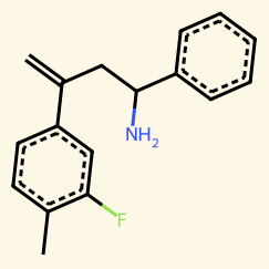 C=C(CC(N)c1ccccc1)c1ccc(C)c(F)c1